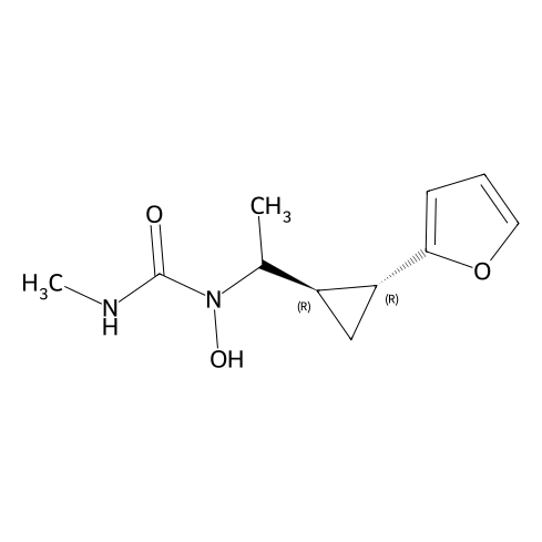 CNC(=O)N(O)C(C)[C@@H]1C[C@H]1c1ccco1